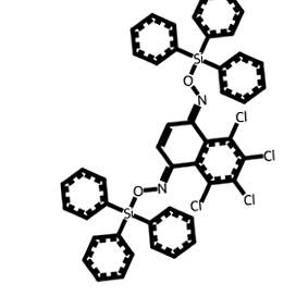 Clc1c(Cl)c(Cl)c2c(c1Cl)C(=NO[Si](c1ccccc1)(c1ccccc1)c1ccccc1)C=CC2=NO[Si](c1ccccc1)(c1ccccc1)c1ccccc1